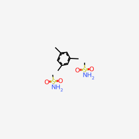 CS(N)(=O)=O.CS(N)(=O)=O.Cc1cc(C)cc(C)c1